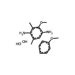 COc1c(N)cc(C)c(N)c1C.COc1ccccc1.Cl.Cl